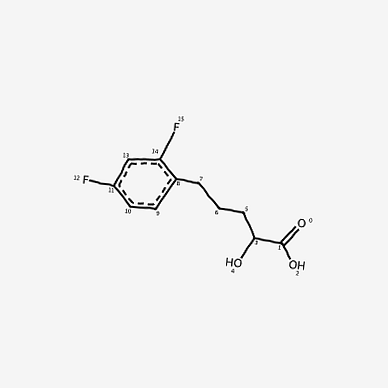 O=C(O)C(O)CCCc1ccc(F)cc1F